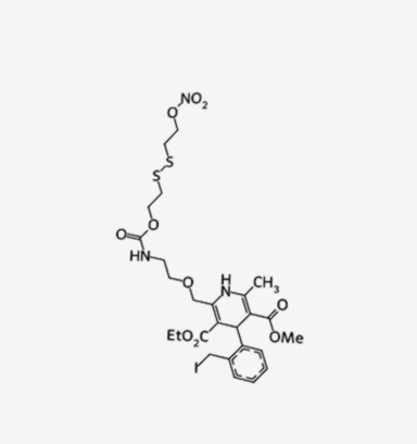 CCOC(=O)C1=C(COCCNC(=O)OCCSSCCO[N+](=O)[O-])NC(C)=C(C(=O)OC)C1c1ccccc1CI